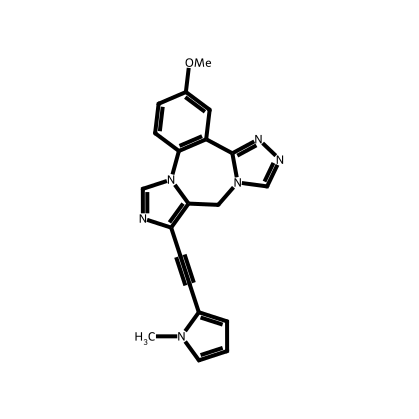 COc1ccc2c(c1)-c1nncn1Cc1c(C#Cc3cccn3C)ncn1-2